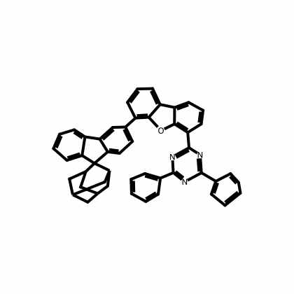 c1ccc(-c2nc(-c3ccccc3)nc(-c3cccc4c3oc3c(-c5ccc6c(c5)-c5ccccc5C65C6CC7CC(C6)CC5C7)cccc34)n2)cc1